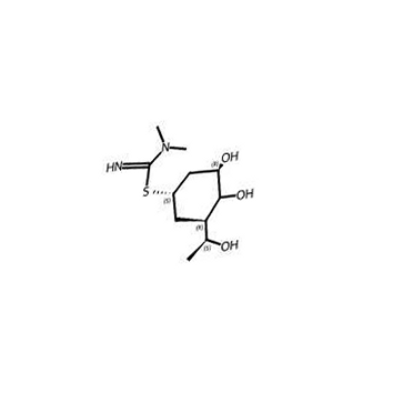 C[C@H](O)[C@H]1C[C@H](SC(=N)N(C)C)C[C@@H](O)C1O